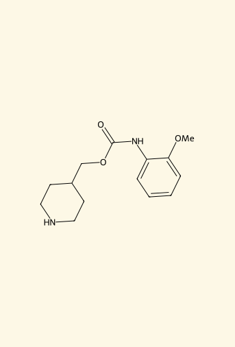 COc1ccccc1NC(=O)OCC1CCNCC1